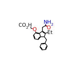 CCC1=C(CC(N)=O)c2c(OCC(=O)O)cccc2C1Cc1ccccc1